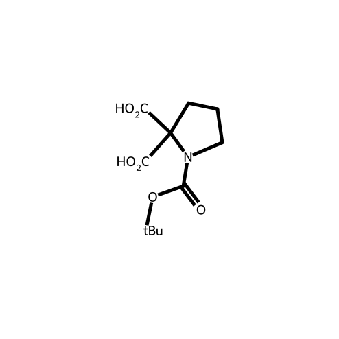 CC(C)(C)OC(=O)N1CCCC1(C(=O)O)C(=O)O